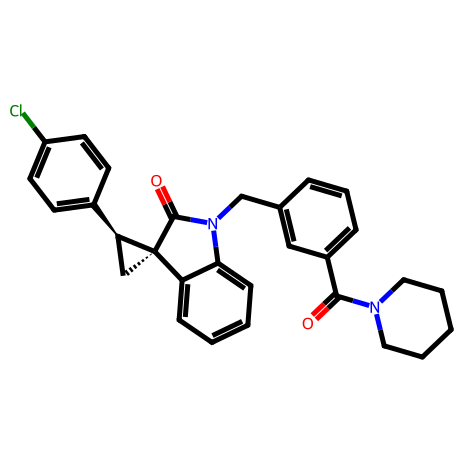 O=C(c1cccc(CN2C(=O)[C@@]3(C[C@H]3c3ccc(Cl)cc3)c3ccccc32)c1)N1CCCCC1